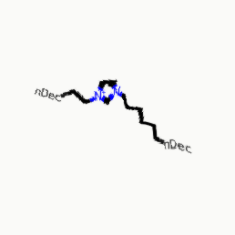 CCCCCCCCCCCCCCCCn1cc[n+](CCCCCCCCCCCC)c1